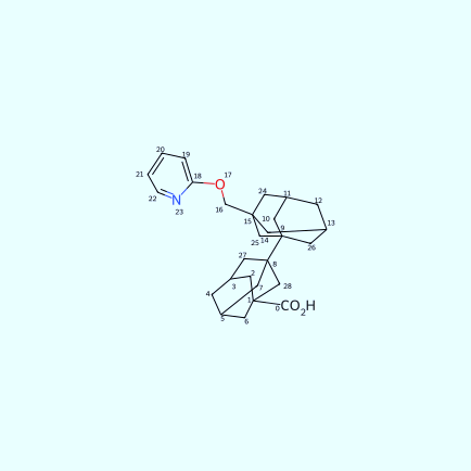 O=C(O)C12CC3CC(C1)CC(C14CC5CC(CC(COc6ccccn6)(C5)C1)C4)(C3)C2